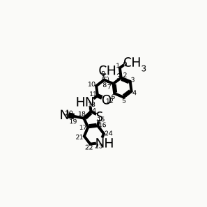 CCc1ccccc1[C@@H](C)CC(=O)Nc1sc2c(c1C#N)CCNC2